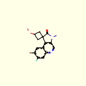 CCOC1CC2(C1)C(=O)N(C)c1cnc3cc(F)c(Br)cc3c12